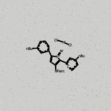 CCCCCC1=C(c2cccc(CCCC)c2)[N+](=[N-])C(c2cccc(CCCC)c2)=C1.[Cl][Ni][Cl]